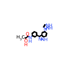 CC(O)C(=O)Nc1cccc(-c2n[nH]c3ccc(N4C=CNN4)cc23)c1